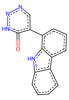 O=c1[nH]nncc1-c1cccc2c1[nH]c1ccccc12